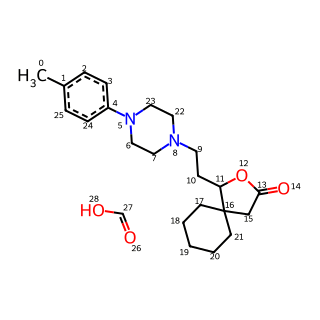 Cc1ccc(N2CCN(CCC3OC(=O)CC34CCCCC4)CC2)cc1.O=CO